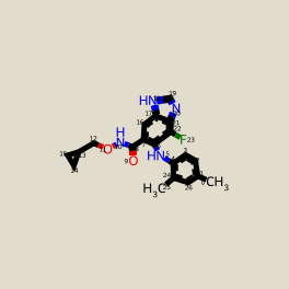 Cc1ccc(Nc2c(C(=O)NOCC3CC3)cc3[nH]cnc3c2F)c(C)c1